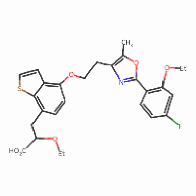 CCOc1cc(F)ccc1-c1nc(CCOc2ccc(CC(OCC)C(=O)O)c3sccc23)c(C)o1